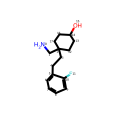 NCC1(CCc2ccccc2F)CCC(O)CC1